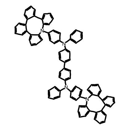 c1ccc(N(c2ccc(-c3ccc(N(c4ccccc4)c4ccc(-n5c6ccccc6c6ccccc6c6ccccc6c6ccccc65)cc4)cc3)cc2)c2ccc(-n3c4ccccc4c4ccccc4c4ccccc4c4ccccc43)cc2)cc1